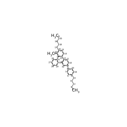 CCCCCc1ccc(-c2ccc(-c3ccc(CCCCC)c(C)c3-c3ccccc3)cc2)cc1